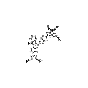 [N-]=[N+]=NCC(CN=[N+]=[N-])c1ccc(C2=C(CN3CC4CN(C(=O)OC(CN=[N+]=[N-])(CN=[N+]=[N-])CN=[N+]=[N-])CC4C3)N3C=CC=CC3N2)cc1